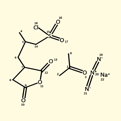 CC(C)=O.CC(CC1CC(=O)OC1=O)CS(=O)(=O)Cl.[N-]=[N+]=[N-].[Na+]